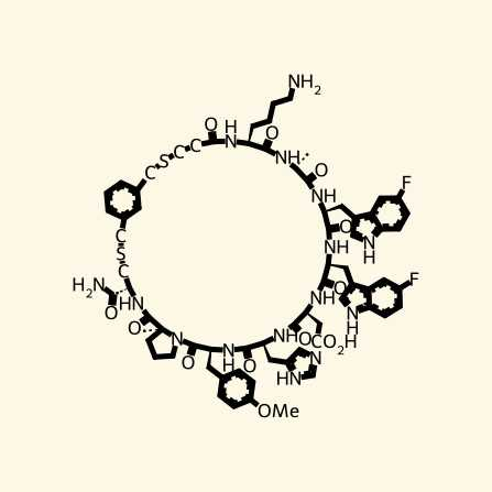 COc1ccc(C[C@@H]2NC(=O)[C@H](Cc3cnc[nH]3)NC(=O)[C@H](CC(=O)O)NC(=O)[C@H](Cc3c[nH]c4ccc(F)cc34)NC(=O)[C@H](Cc3c[nH]c4ccc(F)cc34)NC(=O)[C@@H](C)NC(=O)[C@H](CCCCN)NC(=O)CCSCc3cccc(c3)CSC[C@@H](C(N)=O)NC(=O)[C@]3(C)CCCN3C2=O)cc1